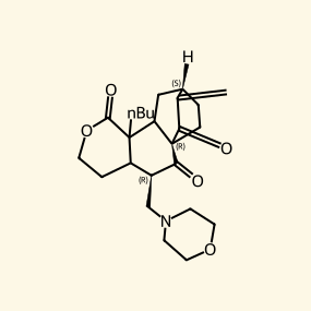 C=C1C(=O)[C@]23CC[C@H]1CC2C1(CCCC)C(=O)OCCC1[C@H](CN1CCOCC1)C3=O